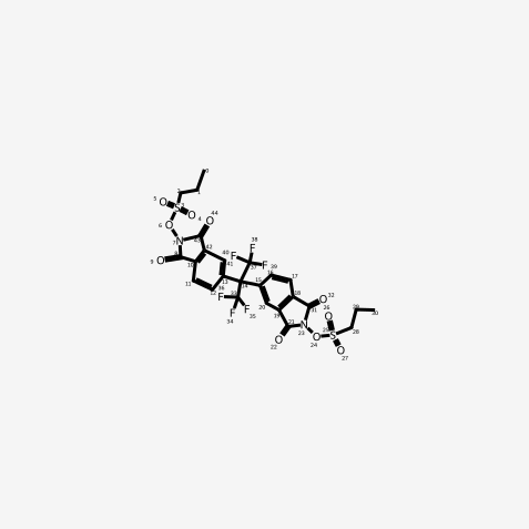 CCCS(=O)(=O)ON1C(=O)c2ccc(C(c3ccc4c(c3)C(=O)N(OS(=O)(=O)CCC)C4=O)(C(F)(F)F)C(F)(F)F)cc2C1=O